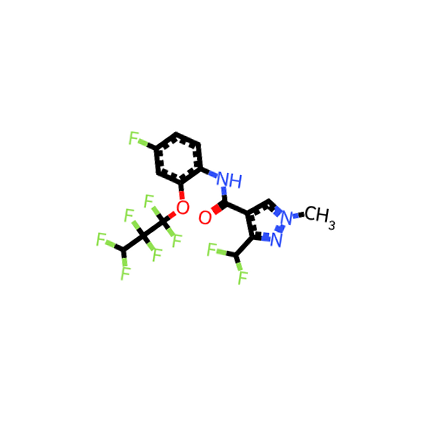 Cn1cc(C(=O)Nc2ccc(F)cc2OC(F)(F)C(F)(F)C(F)F)c(C(F)F)n1